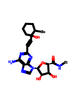 CCNC(=O)[C@H]1O[C@@H](n2cnc3c(N)nc(C#CC4(O)CCCCC4C(C)(C)C)nc32)[C@@H](O)C1O